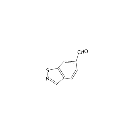 O=Cc1ccc2cnsc2c1